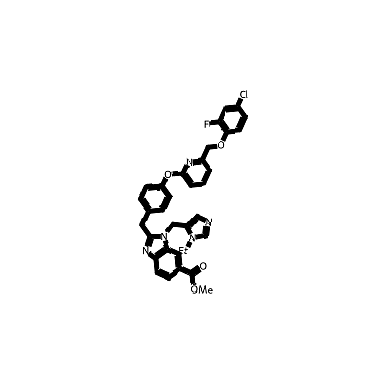 CCn1cncc1Cn1c(Cc2ccc(Oc3cccc(COc4ccc(Cl)cc4F)n3)cc2)nc2ccc(C(=O)OC)cc21